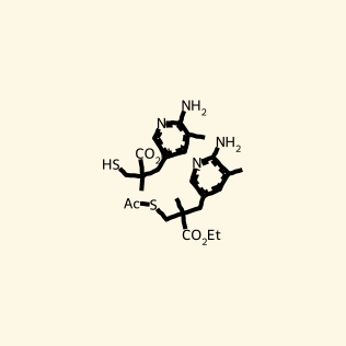 CCOC(=O)C(C)(CSC(C)=O)Cc1cnc(N)c(C)c1.Cc1cc(CC(C)(CS)C(=O)O)cnc1N